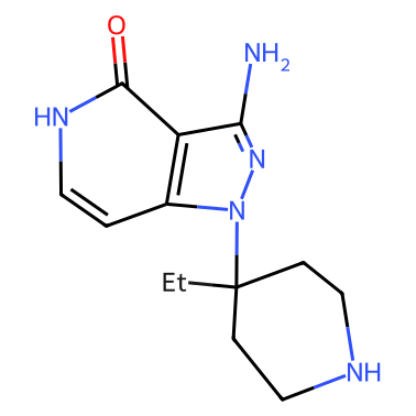 CCC1(n2nc(N)c3c(=O)[nH]ccc32)CCNCC1